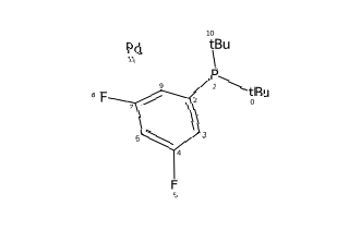 CC(C)(C)P(c1cc(F)cc(F)c1)C(C)(C)C.[Pd]